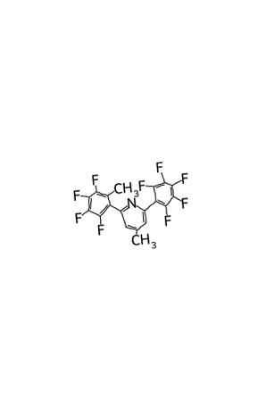 Cc1cc(-c2c(C)c(F)c(F)c(F)c2F)nc(-c2c(F)c(F)c(F)c(F)c2F)c1